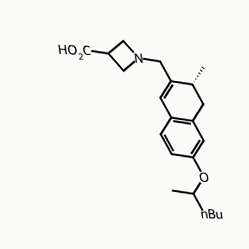 CCCCC(C)Oc1ccc2c(c1)C[C@@H](C)C(CN1CC(C(=O)O)C1)=C2